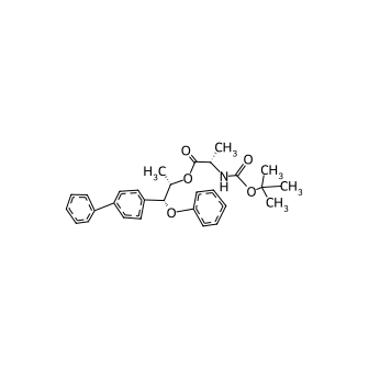 C[C@H](NC(=O)OC(C)(C)C)C(=O)O[C@@H](C)[C@H](Oc1ccccc1)c1ccc(-c2ccccc2)cc1